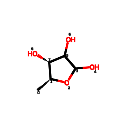 C[C@H]1OC(O)C(O)[C@H]1O